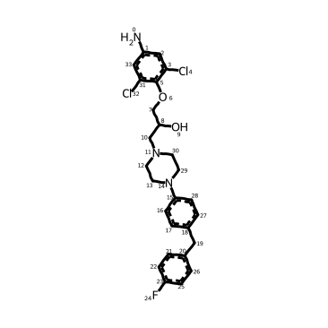 Nc1cc(Cl)c(OCC(O)CN2CCN(c3ccc(Cc4ccc(F)cc4)cc3)CC2)c(Cl)c1